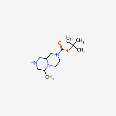 CC1CNCC2CN(C(=O)OC(C)(C)C)CCN12